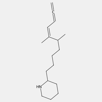 C=C=C/C=C(/C)C(C)CCCCC1CCCCN1